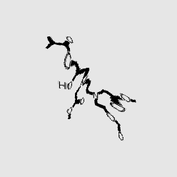 C=C(C)C(=O)OCC(O)CN(CCN(CCOC=O)CC(=O)OC)CC(=O)OC